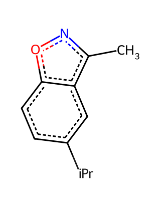 Cc1noc2ccc(C(C)C)cc12